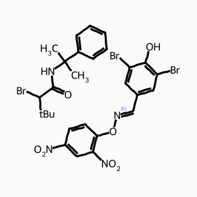 CC(C)(NC(=O)C(Br)C(C)(C)C)c1ccccc1.O=[N+]([O-])c1ccc(O/N=C/c2cc(Br)c(O)c(Br)c2)c([N+](=O)[O-])c1